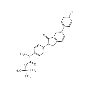 CC(C(=O)OC(C)(C)C)c1ccc(C2Cc3ccc(-c4ccc(Cl)cc4)cc3C2=O)cc1